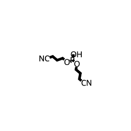 N#CCCCOP(O)OCCCC#N